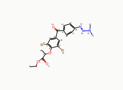 CCOC(=O)C(C)Oc1c(Br)cc(C(=O)c2ccc(N=NN(C)C)cc2)cc1Br